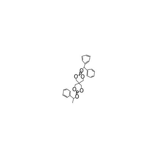 CC(OP1OCC2(CO1)COP(OC(c1ccccc1)c1ccccc1)OC2)c1ccccc1